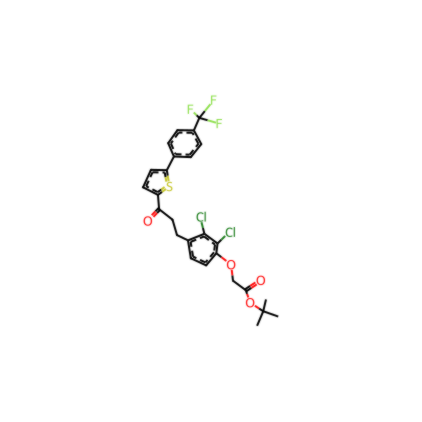 CC(C)(C)OC(=O)COc1ccc(CCC(=O)c2ccc(-c3ccc(C(F)(F)F)cc3)s2)c(Cl)c1Cl